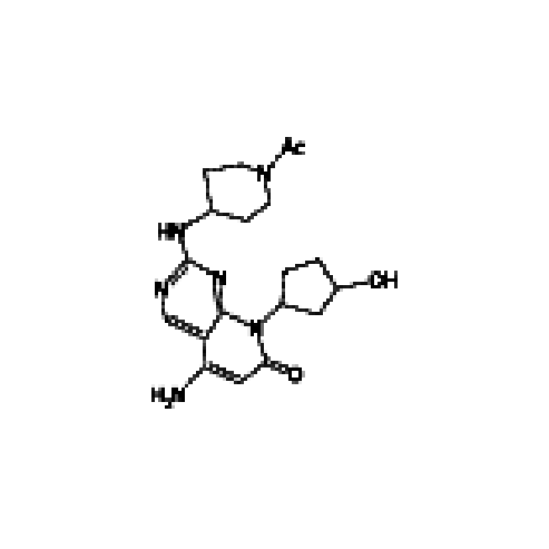 CC(=O)N1CCC(Nc2ncc3c(N)cc(=O)n(C4CCC(O)C4)c3n2)CC1